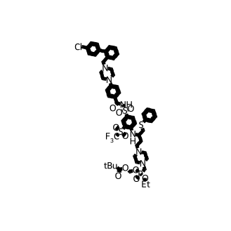 CCOP(=O)(CN1CCN(CCC(CSc2ccccc2)Nc2ccc(S(=O)(=O)NC(=O)c3ccc(N4CCN(Cc5ccccc5-c5ccc(Cl)cc5)CC4)cc3)cc2S(=O)(=O)C(F)(F)F)CC1)OCOC(=O)C(C)(C)C